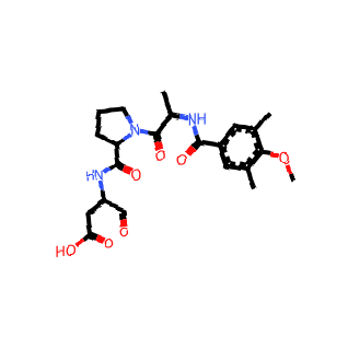 COc1c(C)cc(C(=O)NC(C)C(=O)N2CCCC2C(=O)NC(C=O)CC(=O)O)cc1C